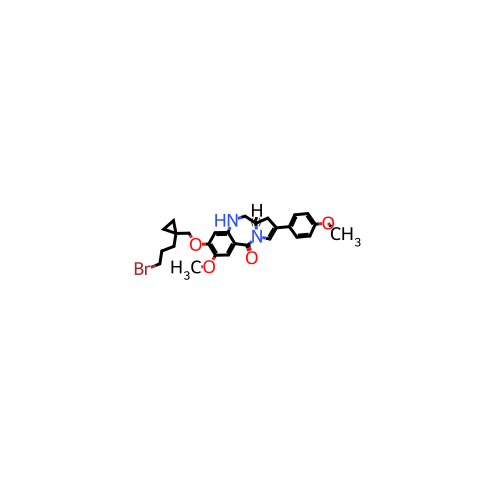 COc1ccc(C2=CN3C(=O)c4cc(OC)c(OCC5(CCCBr)CC5)cc4NC[C@@H]3C2)cc1